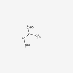 CC(C)(C)CC(C=O)C(F)(F)F